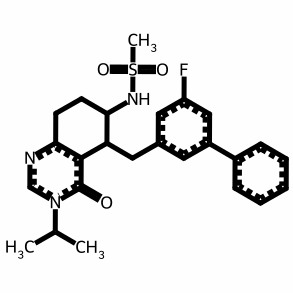 CC(C)n1cnc2c(c1=O)C(Cc1cc(F)cc(-c3ccccc3)c1)C(NS(C)(=O)=O)CC2